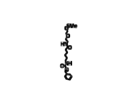 CSOCCOCCNC(=O)CCCCCNC(=O)OCc1ccccc1